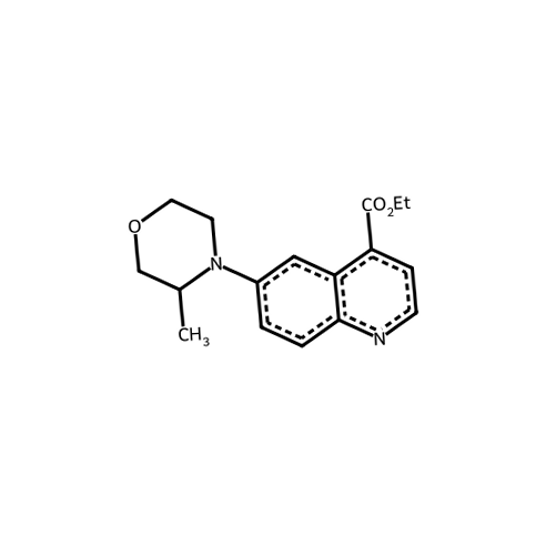 CCOC(=O)c1ccnc2ccc(N3CCOCC3C)cc12